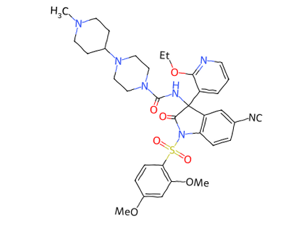 [C-]#[N+]c1ccc2c(c1)C(NC(=O)N1CCN(C3CCN(C)CC3)CC1)(c1cccnc1OCC)C(=O)N2S(=O)(=O)c1ccc(OC)cc1OC